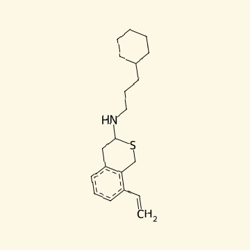 C=Cc1cccc2c1CSC(NCCCC1CCCCC1)C2